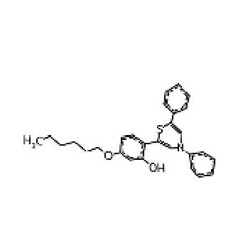 CCCCCCOc1ccc(C2=CN(c3ccccc3)C=C(c3ccccc3)S2)c(O)c1